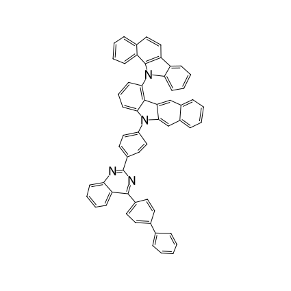 c1ccc(-c2ccc(-c3nc(-c4ccc(-n5c6cc7ccccc7cc6c6c(-n7c8ccccc8c8ccc9ccccc9c87)cccc65)cc4)nc4ccccc34)cc2)cc1